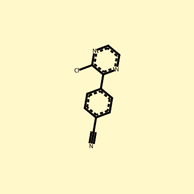 N#Cc1ccc(-c2nccnc2Cl)cc1